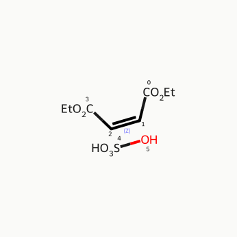 CCOC(=O)/C=C\C(=O)OCC.O=S(=O)(O)O